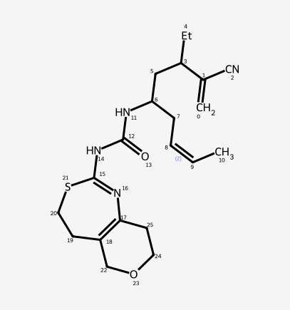 C=C(C#N)C(CC)CC(C/C=C\C)NC(=O)NC1=NC2=C(CCS1)COCC2